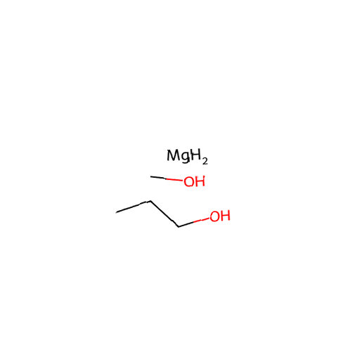 CCCO.CO.[MgH2]